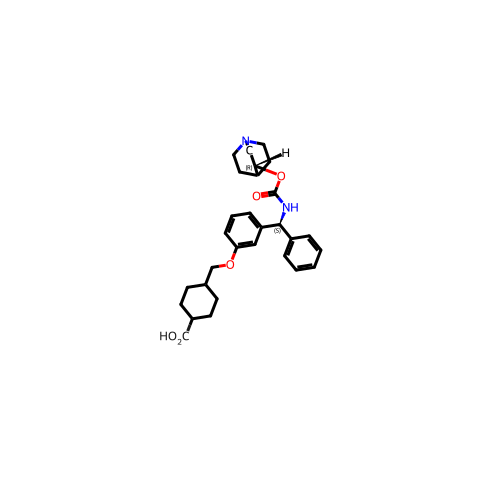 O=C(N[C@@H](c1ccccc1)c1cccc(OCC2CCC(C(=O)O)CC2)c1)O[C@H]1CN2CCC1CC2